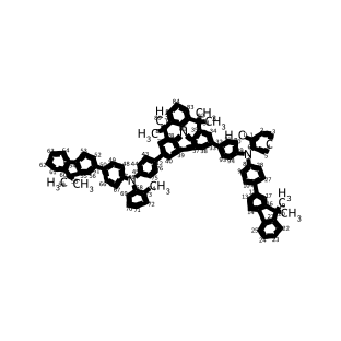 Cc1ccccc1N(c1ccc(-c2ccc3c(c2)C(C)(C)c2ccccc2-3)cc1)c1ccc(-c2cc3c4c(c2)c2cc(-c5ccc(N(c6ccc(-c7ccc8c(c7)C(C)(C)c7ccccc7-8)cc6)c6ccccc6C)cc5)cc5c2n4-c2c(cccc2C5(C)C)C3(C)C)cc1